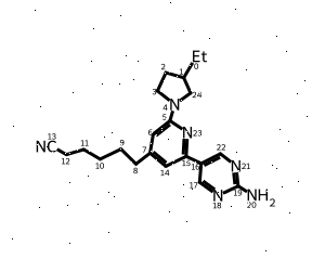 CCC1CCN(c2cc(CCCCCC#N)cc(-c3cnc(N)nc3)n2)C1